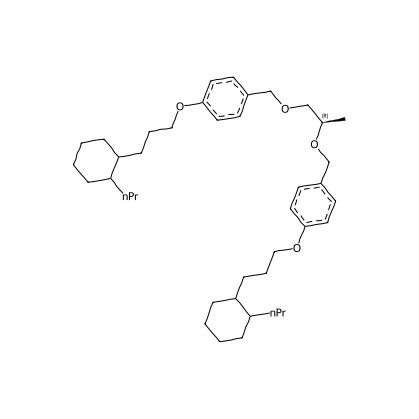 CCCC1CCCCC1CCCOc1ccc(COC[C@@H](C)OCc2ccc(OCCCC3CCCCC3CCC)cc2)cc1